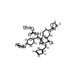 C[C@H]1COC(N2CCN(C(=O)[C@H](NC(=O)OC(C)(C)C)C3CCC(N=[N+]=[N-])CC3)[C@H](C(=O)NCc3cccs3)C2)=N1